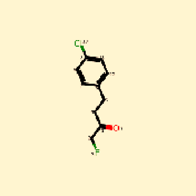 O=C(CF)CCc1ccc(Cl)cc1